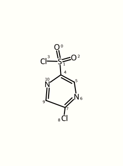 O=S(=O)(Cl)c1cnc(Cl)cn1